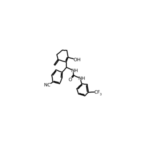 C=C1CCCC(O)=C1C(NC(=O)Nc1cccc(C(F)(F)F)c1)c1ccc(C#N)cc1